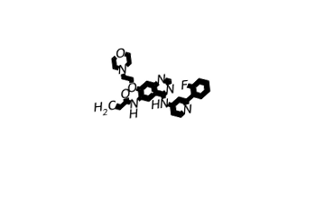 C=CC(=O)Nc1cc2c(Nc3ccnc(-c4ccccc4F)c3)ncnc2cc1OCCN1CCOCC1